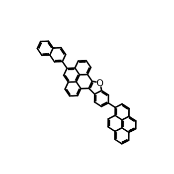 c1ccc2cc(-c3cc4cccc5c6c7ccc(-c8ccc9ccc%10cccc%11ccc8c9c%10%11)cc7oc6c6cccc3c6c45)ccc2c1